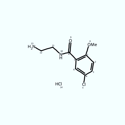 COc1ccc(Cl)cc1C(=O)NCCN.Cl